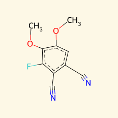 COc1cc(C#N)c(C#N)c(F)c1OC